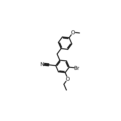 CCOc1cc(C#N)c(Cc2ccc(OC)cc2)cc1Br